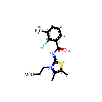 COCCn1c(C)c(C)s/c1=N\C(=O)c1cccc(C(F)(F)F)c1F